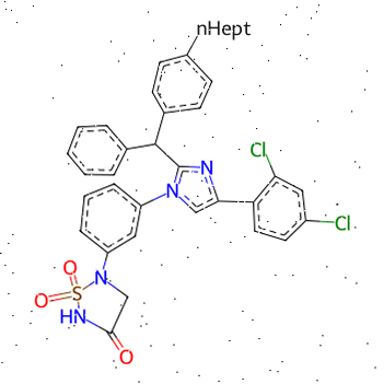 CCCCCCCc1ccc(C(c2ccccc2)c2nc(-c3ccc(Cl)cc3Cl)cn2-c2cccc(N3CC(=O)NS3(=O)=O)c2)cc1